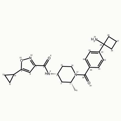 C[C@@H]1C[C@H](NC(=O)c2cc(C3CC3)on2)CCN1C(=O)c1ccc(C2(N)CCC2)cc1